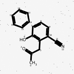 CC(=O)Cc1c(O)cccc1C#N.c1ccccc1